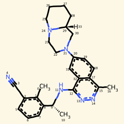 Cc1c(C#N)cccc1[C@@H](C)Nc1nnc(C)c2ccc(N3CCN4CCCC[C@@H]4C3)cc12